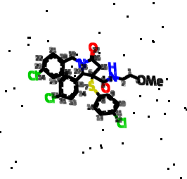 COCCNC(=O)C1(Sc2ccc(Cl)cc2)CC(=O)N(Cc2ccc(Cl)cc2)C1c1ccc(Cl)cc1